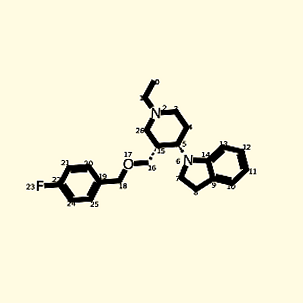 CCN1CC[C@H](N2CCc3ccccc32)[C@H](COCc2ccc(F)cc2)C1